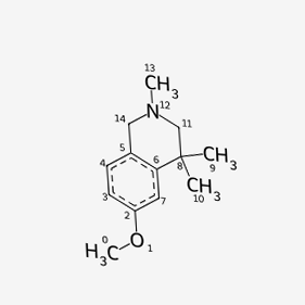 COc1ccc2c(c1)C(C)(C)CN(C)C2